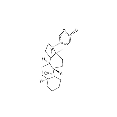 C[C@]12CC[C@H]3[C@@H](CC[C@@H]4CCCC[C@@]43C=O)[C@H]1CC[C@@H]2c1ccc(=O)oc1